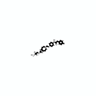 CC(F)(F)COc1nc2c(s1)CCN(CC[C@H]1CC[C@H](NC(=O)Cc3ccc(F)cc3)CC1)CC2